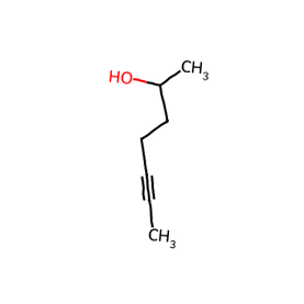 CC#CCCC(C)O